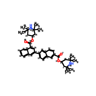 CC1(C)CC(OC(=O)c2ccc3cc(-c4cc(C(=O)OC5CC(C)(C)NC(C)(C)C5)c5ccccc5c4)ccc3c2)CC(C)(C)N1